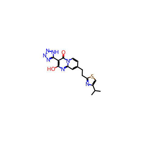 CC(C)c1csc(CCc2ccn3c(=O)c(-c4nnn[nH]4)c(O)nc3c2)n1